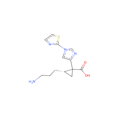 NCCC[C@H]1CC1(C(=O)O)c1cn(-c2nccs2)cn1